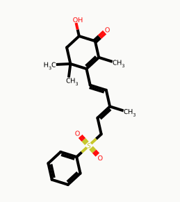 CC(C=CC1=C(C)C(=O)C(O)CC1(C)C)=CCS(=O)(=O)c1ccccc1